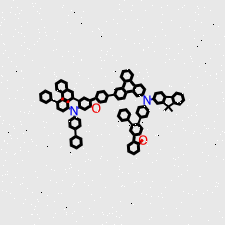 CC1(C)c2ccccc2-c2ccc(N(c3ccc(-c4cc5oc6ccccc6c5cc4-c4ccccc4)cc3)c3ccc4c5ccccc5c5cc(-c6ccc7c(c6)oc6cc(N(c8ccc(-c9ccccc9)cc8)c8ccc(-c9ccccc9)cc8)c(-c8ccc9ccccc9c8)cc67)ccc5c4c3)cc21